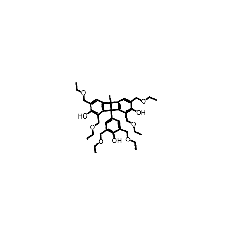 CCOCc1cc(C23c4c(cc(COCC)c(O)c4COCC)C2(C)c2cc(COCC)c(O)c(COCC)c23)cc(COCC)c1O